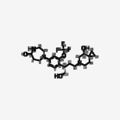 O=C1CCN(c2ccc([C@@H](CO)CCN3CCC4(CC4)[C@H](O)C3)c(OC(F)(F)F)c2)CCN1